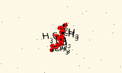 Cc1ccc(N2c3cc(-c4ccc5c(c4)C(C)(C)c4cc(-c6ccccc6)c6ccccc6c4-5)ccc3Oc3ccc(-c4ccc5c(c4)C(C)(C)c4cc(-c6ccccc6)c6ccccc6c4-5)cc32)c(C)c1